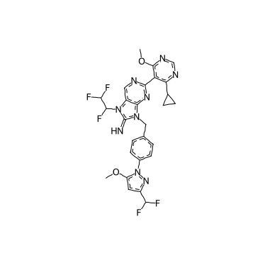 COc1ncnc(C2CC2)c1-c1ncc2c(n1)n(Cc1ccc(-n3nc(C(F)F)cc3OC)cc1)c(=N)n2C(F)C(F)F